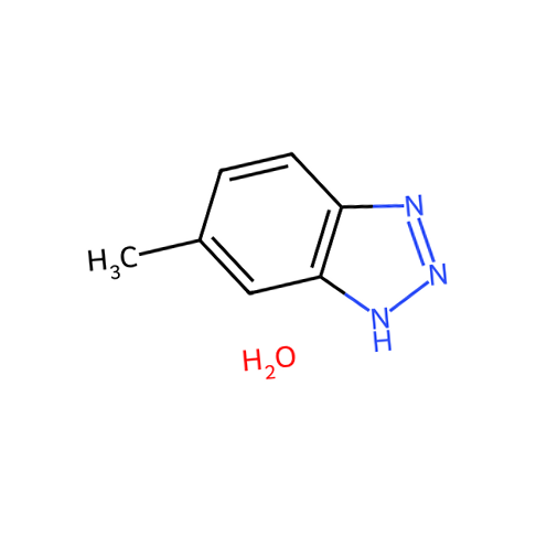 Cc1ccc2nn[nH]c2c1.O